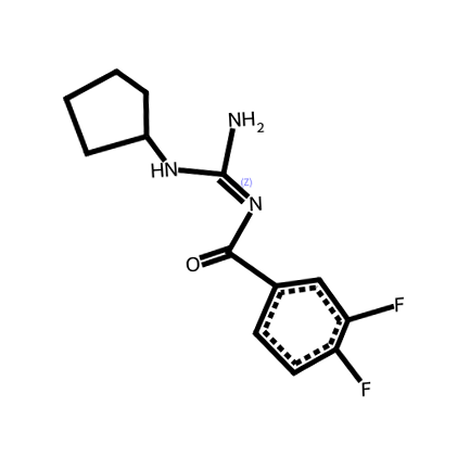 N/C(=N/C(=O)c1ccc(F)c(F)c1)NC1CCCC1